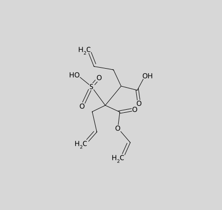 C=CCC(C(=O)O)C(CC=C)(C(=O)OC=C)S(=O)(=O)O